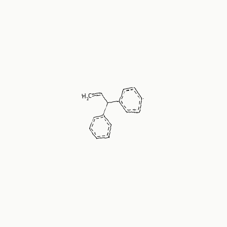 C=CC(c1cc[c]cc1)c1ccccc1